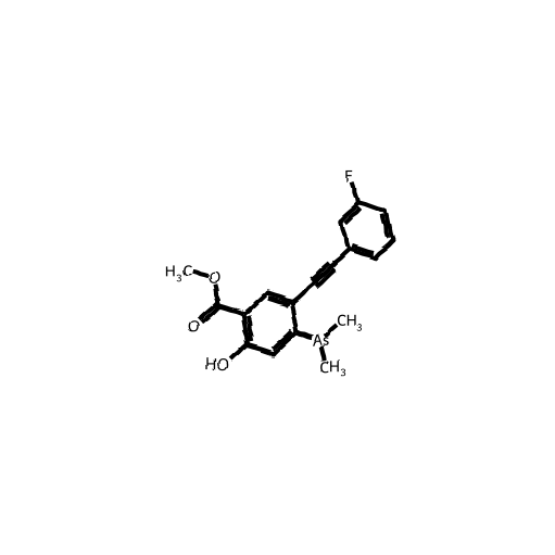 COC(=O)c1cc(C#Cc2cccc(F)c2)c([As](C)C)cc1O